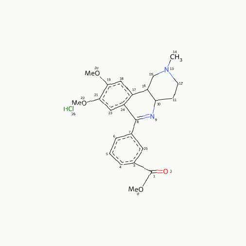 COC(=O)c1cccc(C2=NC3CCN(C)CC3c3cc(OC)c(OC)cc32)c1.Cl